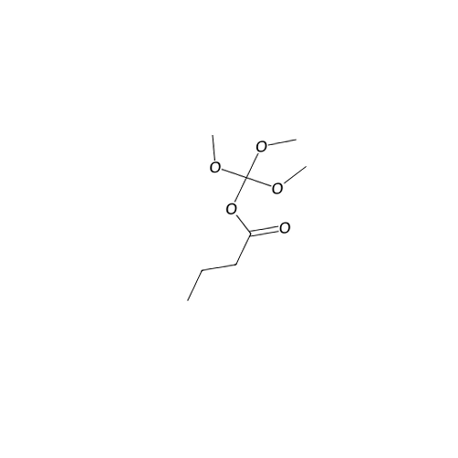 CCCC(=O)OC(OC)(OC)OC